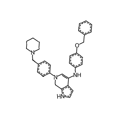 C1=C(Nc2ccc(OCc3ccccc3)cc2)c2cc[nH]c2CN1c1ccc(CN2CCCCC2)cc1